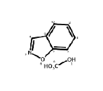 O=C(O)O.c1ccc2oncc2c1